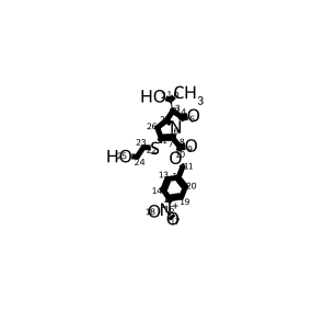 CC(O)[C@@H]1C(=O)N2C(C(=O)OCc3ccc([N+](=O)[O-])cc3)=C(SCCO)CC12